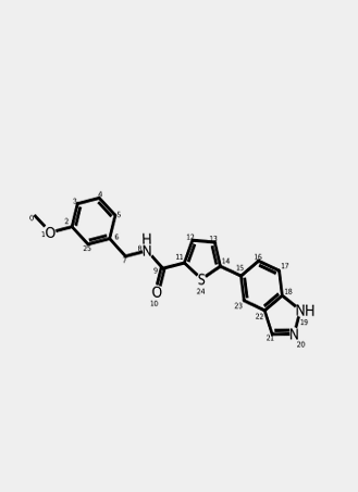 COc1cccc(CNC(=O)c2ccc(-c3ccc4[nH]ncc4c3)s2)c1